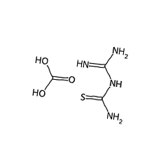 N=C(N)NC(N)=S.O=C(O)O